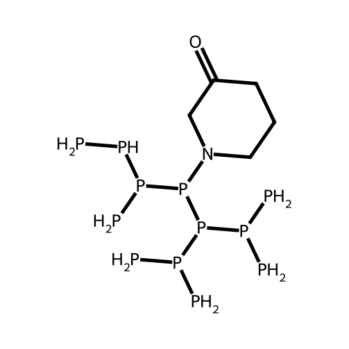 O=C1CCCN(P(P(P)PP)P(P(P)P)P(P)P)C1